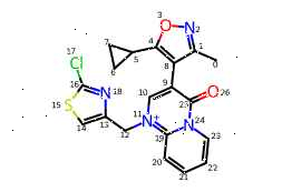 Cc1noc(C2CC2)c1-c1c[n+](Cc2csc(Cl)n2)c2ccccn2c1=O